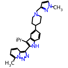 Cc1cccc2c(-c3[nH]c4ccc(C5CCN(Cc6ccn(C)n6)CC5)cc4c3C(C)C)nnn12